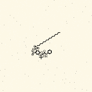 CCCCCCCCCCCCCCCCS(=O)(=O)Nc1cc(OC(Cl)(C(=O)Nc2ccccc2)C(=O)C(C)(C)C)ccc1[N+](=O)[O-]